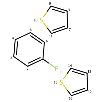 Fc1ccccc1.c1ccsc1.c1ccsc1